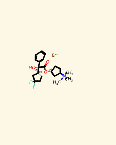 C[N+](C)(C)C1CC[C@@H](OC(=O)[C@](O)(c2ccccc2)[C@@H]2CCC(F)(F)C2)C1.[Br-]